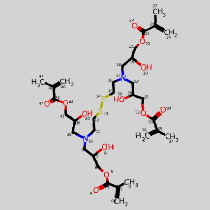 C=C(C)C(=O)OCC(O)CN(CCSSCCN(CC(O)COC(=O)C(=C)C)CC(O)COC(=O)C(=C)C)CC(O)COC(=O)C(=C)C